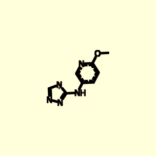 COc1ccc(NC2=NN=C[N]2)cn1